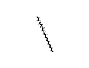 CCCCCCCCCCCCOCCOCCOCCCl